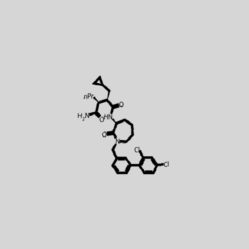 CCC[C@H](C(N)=O)[C@@H](CC1CC1)C(=O)N[C@H]1CCCCN(Cc2cccc(-c3ccc(Cl)cc3Cl)c2)C1=O